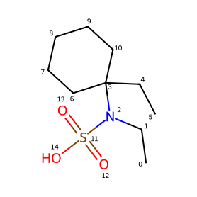 CCN(C1(CC)CCCCC1)S(=O)(=O)O